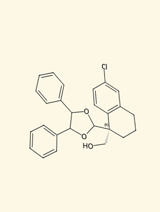 OC[C@@]1(C2OC(c3ccccc3)C(c3ccccc3)O2)CCCc2cc(Cl)ccc21